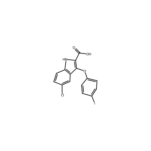 O=C(O)c1[nH]c2ccc(Cl)cc2c1Oc1ccc(I)cc1